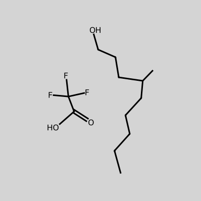 CCCCCC(C)CCCO.O=C(O)C(F)(F)F